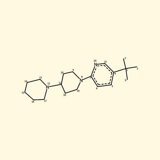 CC(C)(C)c1ccc(N2CCC(N3CCCCC3)CC2)nc1